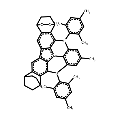 Cc1cc(C)c(B2c3cc(C)cc4c3-n3c5c2c2c(cc5c5cc6c(c(c53)B4c3c(C)cc(C)cc3C)C3CCC6CC3)C3CCC2CC3)c(C)c1